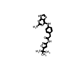 CC(C)(C)c1cc(NC(=O)Cc2ccc(Nc3nc(N)nc4[nH]cnc34)cc2)no1